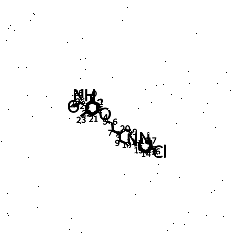 Cc1cc(OCCCC2CCN(c3ccc(Cl)cn3)CC2)cc(C)c1C(N)=O